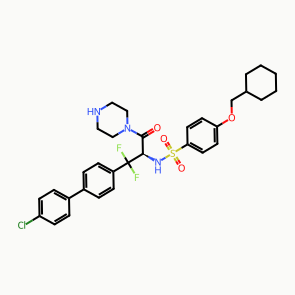 O=C([C@@H](NS(=O)(=O)c1ccc(OCC2CCCCC2)cc1)C(F)(F)c1ccc(-c2ccc(Cl)cc2)cc1)N1CCNCC1